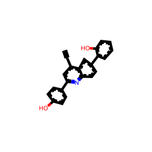 C#Cc1cc(-c2ccc(O)cc2)nc2ccc(-c3ccccc3O)cc12